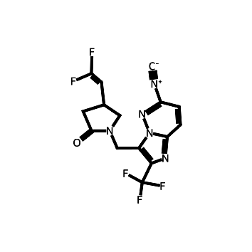 [C-]#[N+]c1ccc2nc(C(F)(F)F)c(CN3CC(C=C(F)F)CC3=O)n2n1